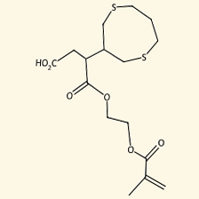 C=C(C)C(=O)OCCOC(=O)C(CC(=O)O)C1CSCCCSC1